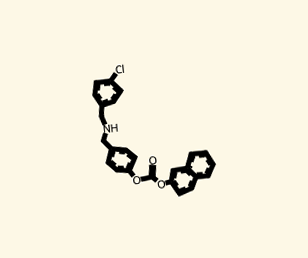 O=C(Oc1ccc(CNCc2ccc(Cl)cc2)cc1)Oc1ccc2ccccc2c1